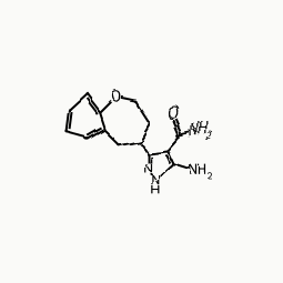 NC(=O)c1c(C2CCOc3ccccc3C2)n[nH]c1N